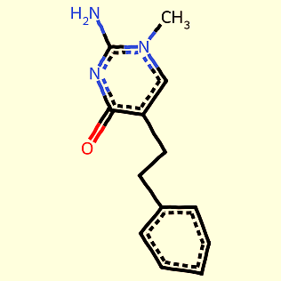 Cn1cc(CCc2ccccc2)c(=O)nc1N